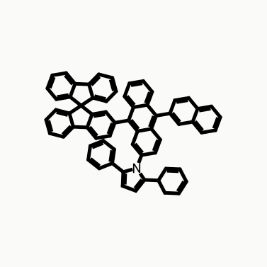 C1=CCC(c2ccc(-c3ccccc3)n2-c2ccc3c(-c4ccc5ccccc5c4)c4ccccc4c(-c4ccc5c(c4)C4(c6ccccc6-c6ccccc64)c4ccccc4-5)c3c2)C=C1